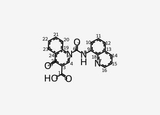 O=C(O)c1cn(C(=O)Nc2cccc3cccnc23)c2ccccc2c1=O